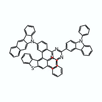 c1ccc(-c2nc(-c3ccc4c(c3)c3ccccc3n4-c3ccccc3)nc(-c3ccc(-n4c5ccccc5c5cc6ccccc6cc54)cc3-c3c4ccccc4cc4sc5ccccc5c34)n2)cc1